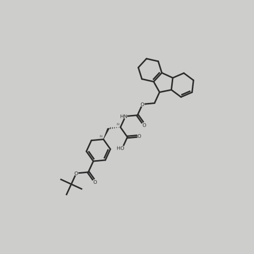 CC(C)(C)OC(=O)C1=CC[C@@H](C[C@H](NC(=O)OCC2C3=C(CCCC3)C3CCC=CC32)C(=O)O)C=C1